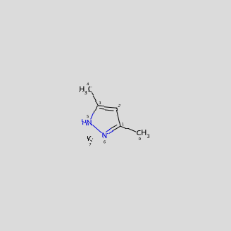 Cc1cc(C)[nH]n1.[K]